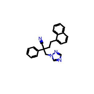 N#CC(CCc1cccc2ccccc12)(Cn1cncn1)c1ccccc1